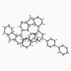 c1ccc(-c2ccc(-c3nc(-c4ccccc4)nc(-c4cccc5oc6ccc(-c7c(-c8ccccc8)ccc8oc9ccccc9c78)cc6c45)n3)cc2)cc1